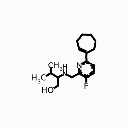 CC(C)C(CO)NCc1nc(C2=CCCCCC2)ccc1F